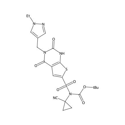 CCn1cc(Cn2c(=O)[nH]c3sc(S(=O)(=O)N(C(=O)OC(C)(C)C)C4(C#N)CC4)cc3c2=O)cn1